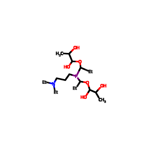 CCC(OC(O)C(C)O)P(CCCN(CC)CC)C(CC)OC(O)C(C)O